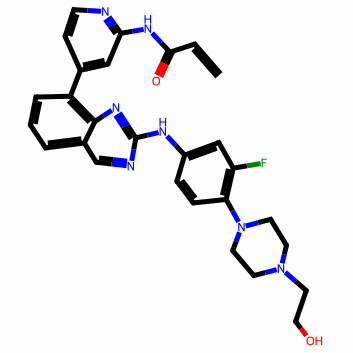 C=CC(=O)Nc1cc(-c2cccc3cnc(Nc4ccc(N5CCN(CCO)CC5)c(F)c4)nc23)ccn1